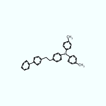 Cc1ccc(N(c2ccc(C)cc2)c2ccc(CCc3ccc(-c4ccccc4)cc3)cc2)cc1